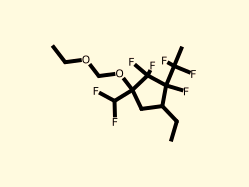 CCOCOC1(C(F)F)CC(CC)C(F)(C(C)(F)F)C1(F)F